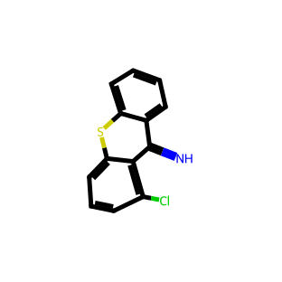 N=c1c2ccccc2sc2cccc(Cl)c12